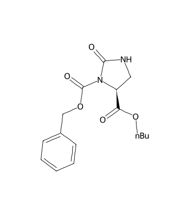 CCCCOC(=O)[C@@H]1CNC(=O)N1C(=O)OCc1ccccc1